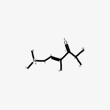 C/C(=C\CN(C)C)C(=O)C(C)C